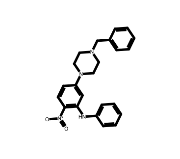 O=[N+]([O-])c1ccc(N2CCN(Cc3ccccc3)CC2)cc1Nc1ccccc1